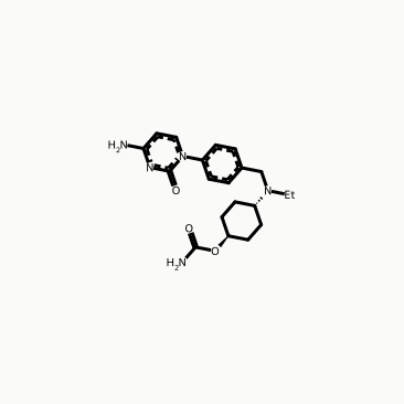 CCN(Cc1ccc(-n2ccc(N)nc2=O)cc1)[C@H]1CC[C@H](OC(N)=O)CC1